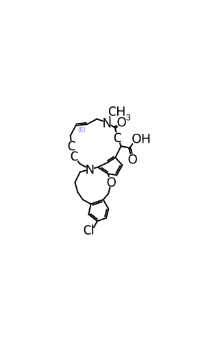 CN1C/C=C/CCCCN2CCCCc3cc(Cl)ccc3COc3ccc(cc32)C(C(=O)O)CC1=O